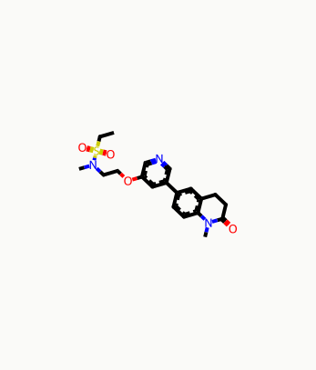 CCS(=O)(=O)N(C)CCOc1cncc(-c2ccc3c(c2)CCC(=O)N3C)c1